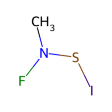 CN(F)SI